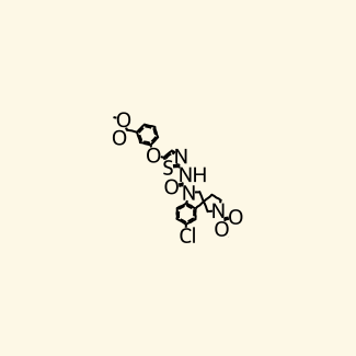 COC(=O)c1cccc(Oc2cnc(NC(=O)N3CC4(CCN(C(=O)OC)C4)c4cc(Cl)ccc43)s2)c1